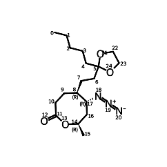 CCCCCC1(CC[C@@H]2CCC(=O)O[C@H](C)C[C@H]2N=[N+]=[N-])OCCO1